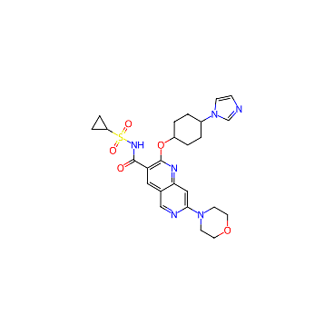 O=C(NS(=O)(=O)C1CC1)c1cc2cnc(N3CCOCC3)cc2nc1OC1CCC(n2ccnc2)CC1